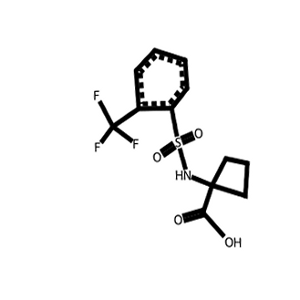 O=C(O)C1(NS(=O)(=O)c2ccccc2C(F)(F)F)CCC1